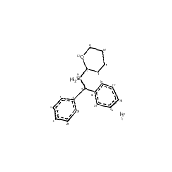 [H+].c1ccc(C([SiH2]C2CCCCO2)c2ccccc2)cc1